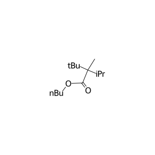 CCCCOC(=O)C(C)(C(C)C)C(C)(C)C